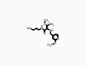 CO/C(N)=C(/NCc1ccnc(OC)c1)C(=O)NCCCO